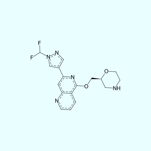 FC(F)n1cc(-c2cc3ncccc3c(OC[C@@H]3CNCCO3)n2)cn1